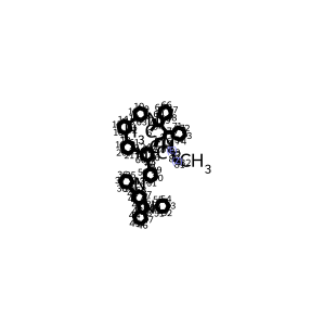 C=Cc1c(-c2c(C)n(-c3cccc(-c4cccc(-c5cccc(-c6cccc(-c7cccc(-n8c9ccccc9c9cc%10c%11ccccc%11n(-c%11ccccc%11)c%10cc98)c7)c6)c5)c4)c3)c3ccccc23)c2ccccc2n1/C(C)=C/C=C\C